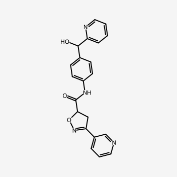 O=C(Nc1ccc(C(O)c2ccccn2)cc1)C1CC(c2cccnc2)=NO1